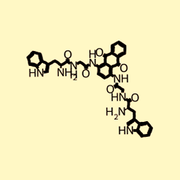 N[C@@H](Cc1c[nH]c2ccccc12)C(=O)NCC(=O)Nc1ccc(NC(=O)CNC(=O)[C@@H](N)Cc2c[nH]c3ccccc23)c2c1C(=O)c1ccccc1C2=O